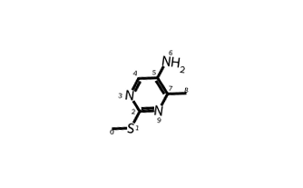 CSc1ncc(N)c(C)n1